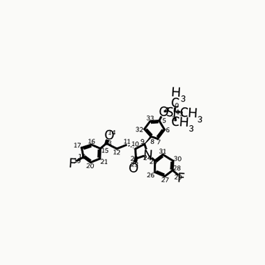 C[Si](C)(C)Oc1ccc([C@@H]2[C@@H](CCC(=O)c3ccc(F)cc3)C(=O)N2c2ccc(F)cc2)cc1